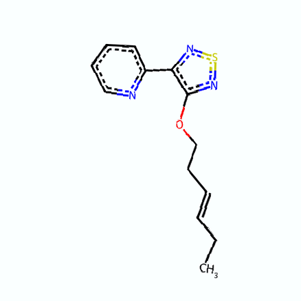 CCC=CCCOc1nsnc1-c1ccccn1